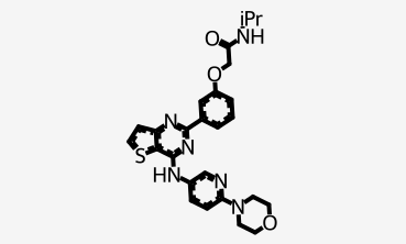 CC(C)NC(=O)COc1cccc(-c2nc(Nc3ccc(N4CCOCC4)nc3)c3sccc3n2)c1